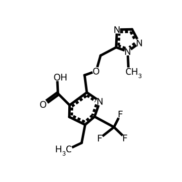 CCc1cc(C(=O)O)c(COCc2ncnn2C)nc1C(F)(F)F